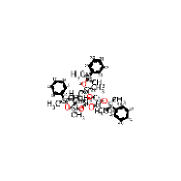 C[Si](C)(O[Si](C)(O[Si](C)(C)O[Si](C)(C)c1ccccc1)O[Si](C)(C)O[Si](C)(C)c1ccccc1)O[Si](C)(C)c1ccccc1